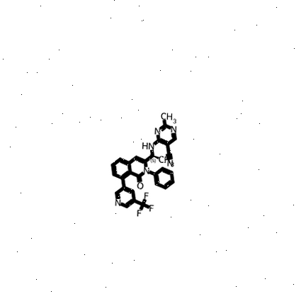 Cc1ncc(C#N)c(N[C@@H](C)c2cc3cccc(-c4cncc(C(F)(F)F)c4)c3c(=O)n2-c2ccccc2)n1